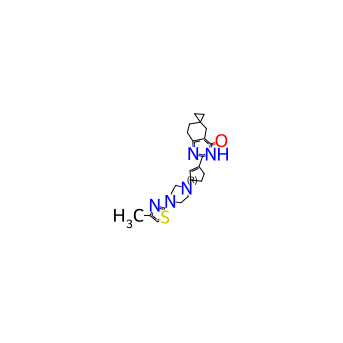 Cc1csc(N2CCN([C@H]3C=C(c4nc5c(c(=O)[nH]4)CC4(CC5)CC4)CC3)CC2)n1